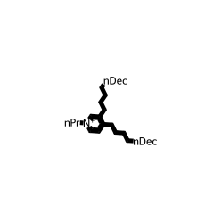 CCCCCCCCCCCCCCc1cc[n+](CCC)cc1CCCCCCCCCCCCCC